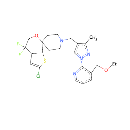 CCOCc1cccnc1-n1cc(CN2CCC3(CC2)OCC(F)(F)C2C=C(Cl)SC23)c(C)n1